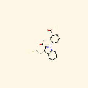 O=C(O)c1cccc(-n2c(C(=O)O)c(CCS)c3ccccc32)c1